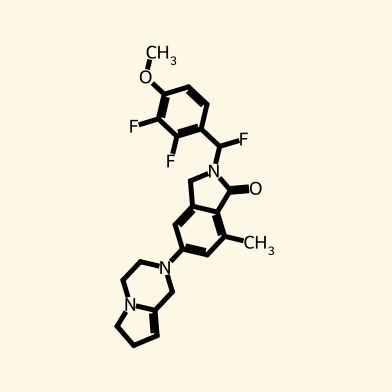 COc1ccc(C(F)N2Cc3cc(N4CCN5CCC=C5C4)cc(C)c3C2=O)c(F)c1F